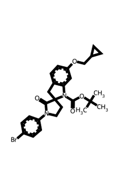 CC(C)(C)OC(=O)N1c2cc(OCC3CC3)ccc2CC12CCN(c1ccc(Br)cc1)C2=O